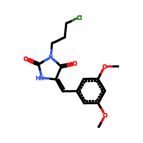 COc1cc(C=C2NC(=O)N(CCCCl)C2=O)cc(OC)c1